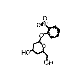 O=[N+]([O-])c1ccccc1OC1CC(O)CC(CO)O1